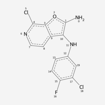 Nc1oc2c(Cl)nccc2c1Nc1ccc(F)c(Cl)c1